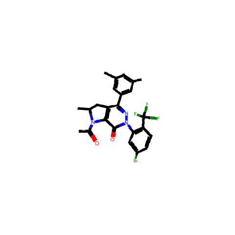 CC(=O)N1c2c(c(-c3cc(C)cc(C)c3)nn(-c3cc(Br)ccc3C(F)(F)F)c2=O)CC1C